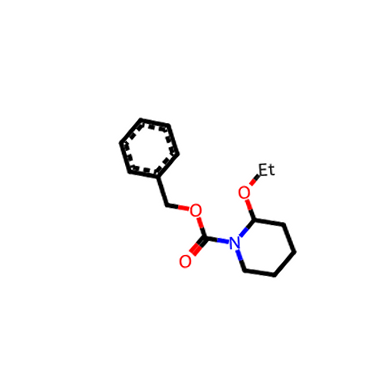 CCOC1CCCCN1C(=O)OCc1ccccc1